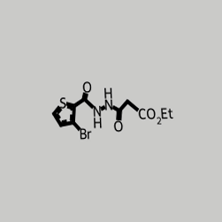 CCOC(=O)CC(=O)NNC(=O)c1sccc1Br